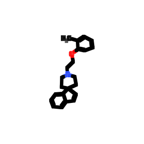 Cc1ccccc1OCCN1CCC2(C=Cc3ccccc32)CC1